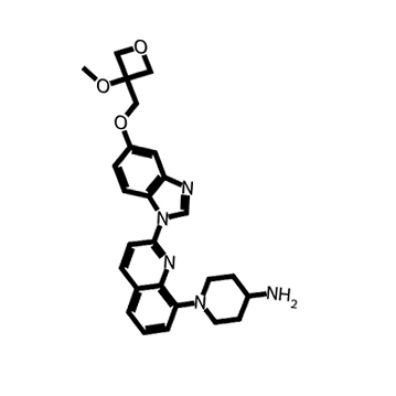 COC1(COc2ccc3c(c2)ncn3-c2ccc3cccc(N4CCC(N)CC4)c3n2)COC1